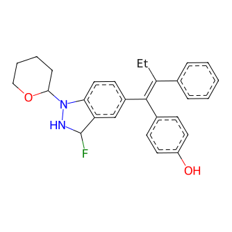 CC/C(=C(/c1ccc(O)cc1)c1ccc2c(c1)C(F)NN2C1CCCCO1)c1ccccc1